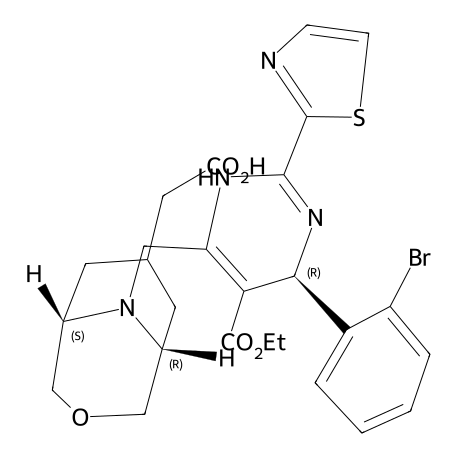 CCOC(=O)C1=C(CN2[C@@H]3COC[C@H]2CC(CC(=O)O)C3)NC(c2nccs2)=N[C@H]1c1ccccc1Br